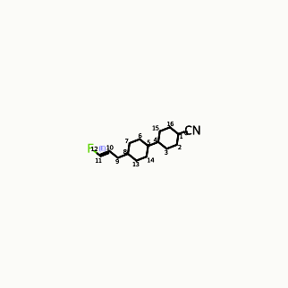 N#CC1CCC(C2CCC(C/C=C/F)CC2)CC1